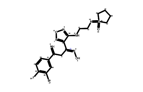 N=C(C/C(=N\O)c1nonc1NCCN=S1(=O)CCCC1)c1ccc(F)c(Br)c1